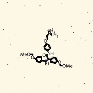 CC/C(=C(/C(=O)Nc1ccc(OCCN(C)C)cc1)c1ccc(OCOC)cc1)c1ccc(OCOC)cc1